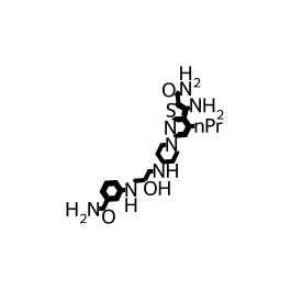 CCCc1cc(N2CCC(NCC(O)CNc3cccc(C(N)=O)c3)CC2)nc2sc(C(N)=O)c(N)c12